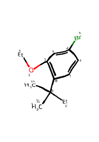 CCOc1cc(Br)ccc1C(C)(C)CC